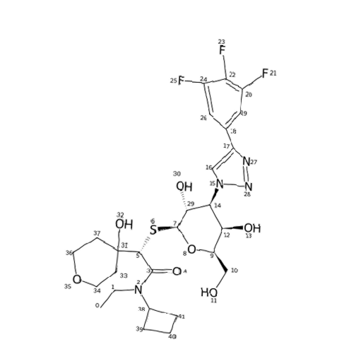 CCN(C(=O)[C@@H](S[C@@H]1O[C@H](CO)[C@H](O)[C@H](n2cc(-c3cc(F)c(F)c(F)c3)nn2)[C@H]1O)C1(O)CCOCC1)C1CCC1